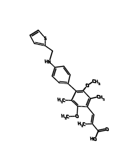 COc1c(C)c(-c2ccc(NCc3cccs3)cc2)c(OC)c(C)c1/C=C(\C)C(=O)O